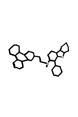 CN(CCC1CCC2C3CCCCC3C3C=CCCC3C2C1)C1CCC2C3CCCCC3OC2C1C1CCCCC1